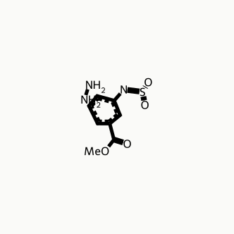 COC(=O)c1cccc(N=S(=O)=O)c1.NN